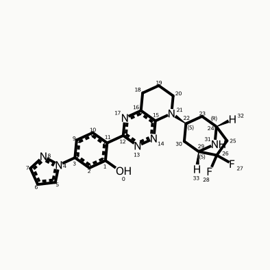 Oc1cc(-n2cccn2)ccc1-c1nnc2c(n1)CCCN2[C@H]1C[C@@H]2CC(F)(F)[C@H](C1)N2